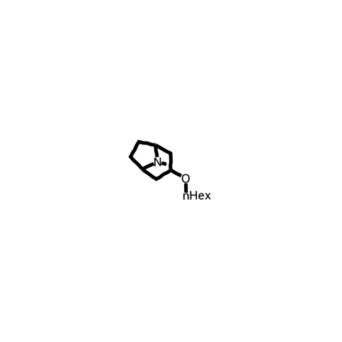 CCCCCCOC1CC2CCC(C1)N2C